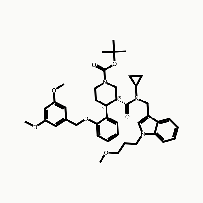 COCCCn1cc(CN(C(=O)[C@H]2CN(C(=O)OC(C)(C)C)CC[C@@H]2c2ccccc2OCc2cc(OC)cc(OC)c2)C2CC2)c2ccccc21